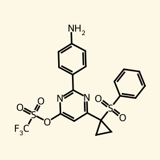 Nc1ccc(-c2nc(OS(=O)(=O)C(F)(F)F)cc(C3(S(=O)(=O)c4ccccc4)CC3)n2)cc1